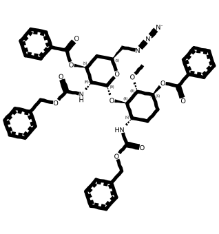 CO[C@H]1[C@H](O[C@H]2O[C@H](CN=[N+]=[N-])C[C@H](OC(=O)c3ccccc3)[C@H]2NC(=O)OCc2ccccc2)[C@@H](NC(=O)OCc2ccccc2)CC[C@@H]1OC(=O)c1ccccc1